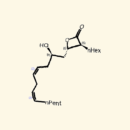 CCCCC/C=C\C/C=C\C[C@@H](O)C[C@@H]1OC(=O)[C@H]1CCCCCC